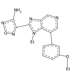 CCOc1cccc(-c2cncc3nc(-c4nonc4N)n(CC)c23)c1